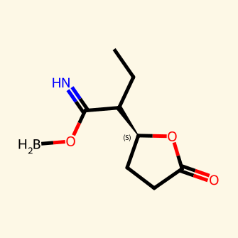 BOC(=N)C(CC)[C@@H]1CCC(=O)O1